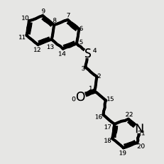 O=C(CCSc1ccc2ccccc2c1)CCc1cccnc1